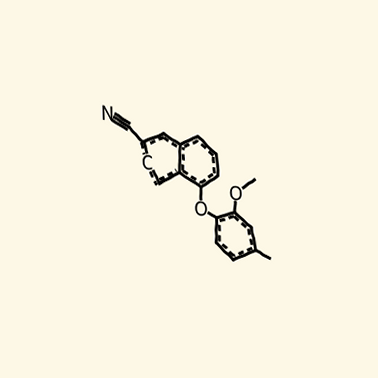 COc1cc(C)ccc1Oc1cccc2cc(C#N)ccc12